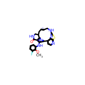 COc1c(F)cccc1Nc1c2[nH]c3c1C(=O)NCC3C/C=C/CNc1nc3c-2ccnc3s1